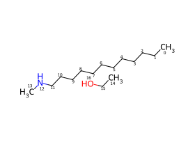 CCCCCCCCCCCCNC.CCO